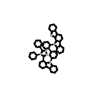 c1ccc(-c2nnc(-c3cccc4c5ccccc5n(-c5cccc(-c6ccccc6-n6c7ccccc7c7ccc8c9ccccc9oc8c76)c5)c34)n2-c2ccccc2)cc1